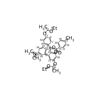 CCOC(C)Oc1ccc(S(OS(=O)(=O)c2ccc(C)cc2)(c2ccc(OC(C)OCC)cc2)c2ccc(N(C)C)cc2)cc1